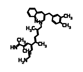 CC(=N)/C(C)=C/C(=C\C=C\N)C(/C)=C/C=C(\C)CN1C=C(Cc2ccc(C)c(C)c2)C=c2ccccc2=N1